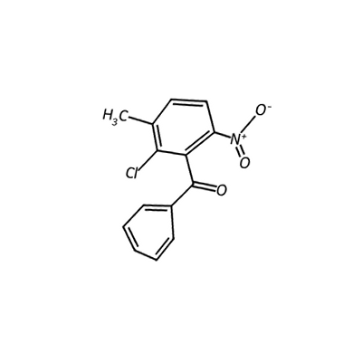 Cc1ccc([N+](=O)[O-])c(C(=O)c2ccccc2)c1Cl